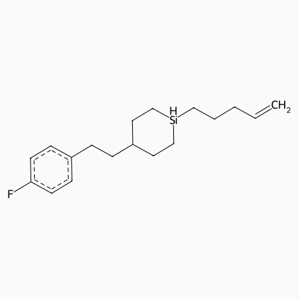 C=CCCC[SiH]1CCC(CCc2ccc(F)cc2)CC1